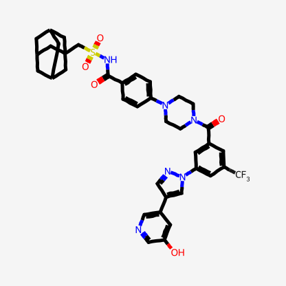 O=C(NS(=O)(=O)CC12CC3CC(CC(C3)C1)C2)c1ccc(N2CCN(C(=O)c3cc(-n4cc(-c5cncc(O)c5)cn4)cc(C(F)(F)F)c3)CC2)cc1